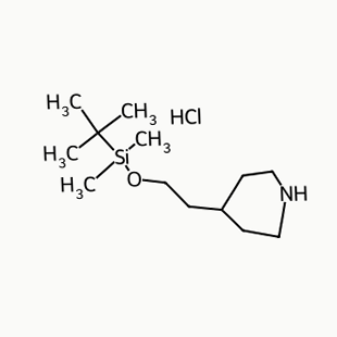 CC(C)(C)[Si](C)(C)OCCC1CCNCC1.Cl